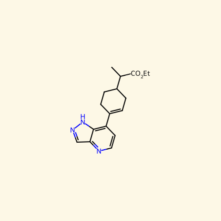 CCOC(=O)C(C)C1CC=C(c2ccnc3cn[nH]c23)CC1